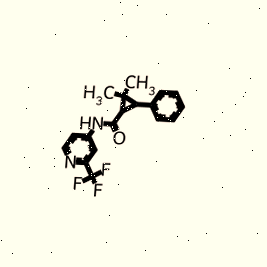 CC1(C)C(C(=O)Nc2ccnc(C(F)(F)F)c2)C1c1ccccc1